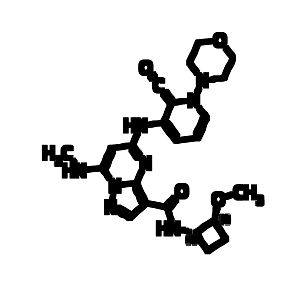 CNc1cc(NC2=CC=CN(N3CCOCC3)C2=C=O)nc2c(C(=O)N[C@H]3CC[C@@H]3OC)cnn12